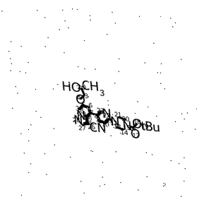 CC(O)COc1cc(-c2ccc(N3CCN(C(=O)OC(C)(C)C)CC3)nc2)c2c(C#N)cnn2c1